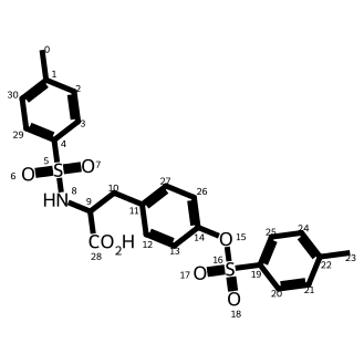 Cc1ccc(S(=O)(=O)NC(Cc2ccc(OS(=O)(=O)c3ccc(C)cc3)cc2)C(=O)O)cc1